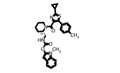 Cc1ccc(-c2sc(C3CC3)nc2C(=O)N2CCCC[C@H]2CNC(=O)Oc2cc3ccccc3n2C)cc1